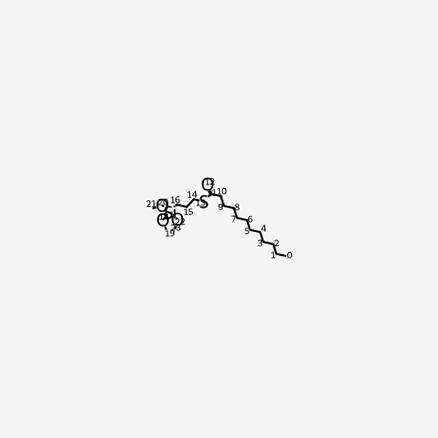 CCCCCCCCCCCC(=O)SCCC[Si](OC)(OC)OC